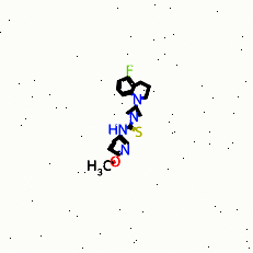 COc1ccc(NC(=S)N2CC(N3CCCc4c(F)cccc43)C2)cn1